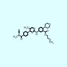 COCCOC(=O)c1cc(Nc2ncc(C)c(-c3ccc(C(=O)N(C)C#N)cc3)n2)ccc1N1CCOCC1